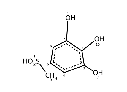 CS(=O)(=O)O.Oc1cccc(O)c1O